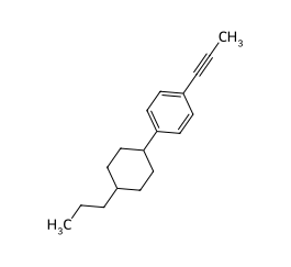 CC#Cc1ccc(C2CCC(CCC)CC2)cc1